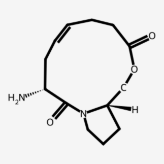 N[C@@H]1CC=CCCC(=O)OC[C@@H]2CCCN2C1=O